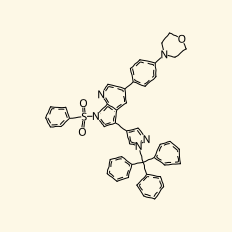 O=S(=O)(c1ccccc1)n1cc(-c2cnn(C(c3ccccc3)(c3ccccc3)c3ccccc3)c2)c2cc(-c3ccc(N4CCOCC4)cc3)cnc21